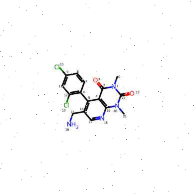 Cn1c(=O)c2c(-c3ccc(Cl)cc3Cl)c(CN)cnc2n(C)c1=O